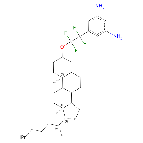 CC(C)CCC[C@@H](C)[C@H]1CCC2C3CCC4CC(OC(F)(F)C(F)(F)c5cc(N)cc(N)c5)CC[C@]4(C)C3CC[C@@]21C